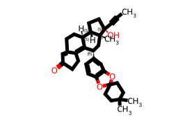 CC#C[C@]1(O)CC[C@H]2[C@@H]3CCC4=CC(=O)CCC4=C3[C@@H](c3ccc4c(c3)OC3(CCC(C)(C)CC3)O4)C[C@@]21C